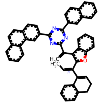 C=C(c1nc(-c2ccc3ccccc3c2)nc(-c2ccc3ccc4ccccc4c3c2)n1)c1c(/C(=C\C)C2=CCCc3ccccc32)oc2ccccc12